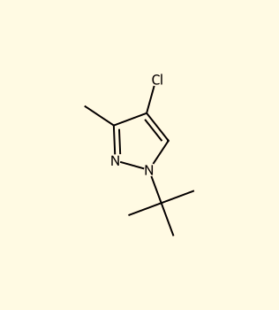 Cc1nn(C(C)(C)C)cc1Cl